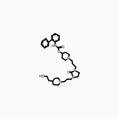 O=C(Nc1ccccc1-c1ccccc1)OC1CCN(CCCN2CCN(CCCN3CCC(CCO)CC3)C2=O)CC1